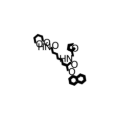 O=C(CCCCC=C(COc1cccc2ccccc12)C(=O)NCc1ccco1)NOC1CCCCO1